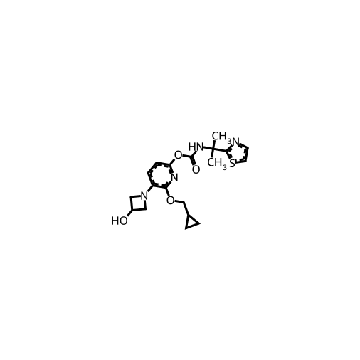 CC(C)(NC(=O)Oc1ccc(N2CC(O)C2)c(OCC2CC2)n1)c1nccs1